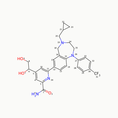 NC(=O)c1cc(C(O)CO)cc(-c2ccc3c(c2)CN(CC2CC2)CCN3c2ccc(C(F)(F)F)cc2)n1